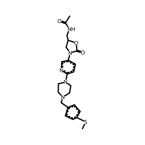 CSc1ccc(CN2CCN(c3ccc(N4CC(CNC(C)=O)OC4=O)cn3)CC2)cc1